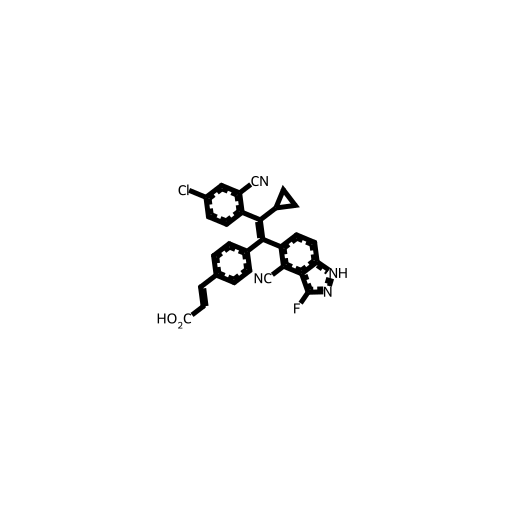 N#Cc1cc(Cl)ccc1C(=C(c1ccc(C=CC(=O)O)cc1)c1ccc2[nH]nc(F)c2c1C#N)C1CC1